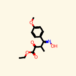 CCOC(=O)C(=O)C(C)C(=NO)c1ccc(OC)cc1